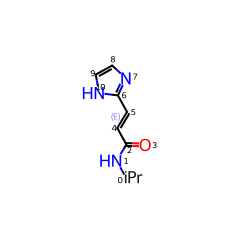 CC(C)NC(=O)/C=C/c1ncc[nH]1